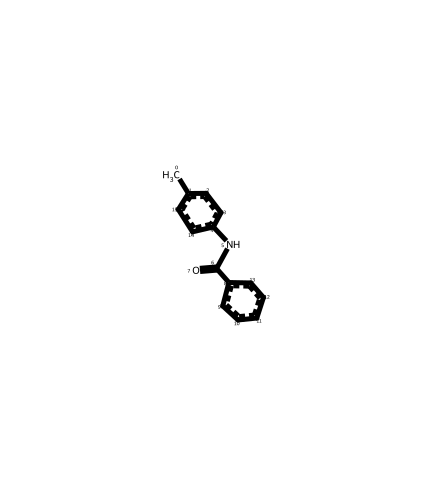 Cc1c[c]c(NC(=O)c2ccccc2)cc1